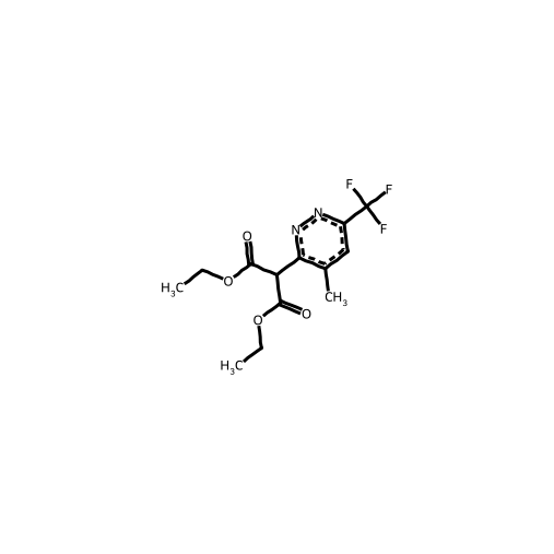 CCOC(=O)C(C(=O)OCC)c1nnc(C(F)(F)F)cc1C